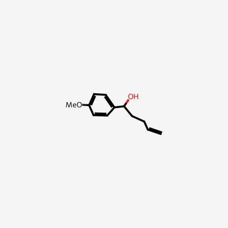 C=CCCC(O)c1ccc(OC)cc1